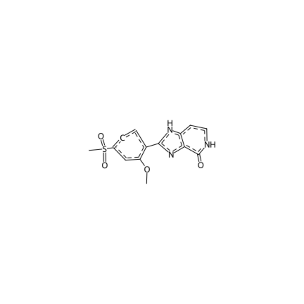 COc1cc(S(C)(=O)=O)ccc1-c1nc2c(=O)[nH]ccc2[nH]1